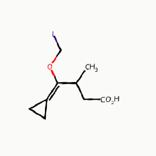 CC(CC(=O)O)C(OCI)=C1CC1